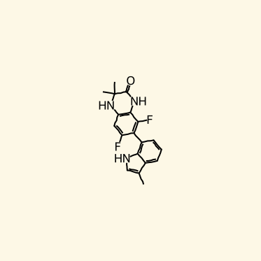 Cc1c[nH]c2c(-c3c(F)cc4c(c3F)NC(=O)C(C)(C)N4)cccc12